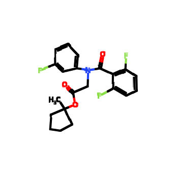 CC1(OC(=O)CN(C(=O)c2c(F)cccc2F)c2cccc(F)c2)CCCC1